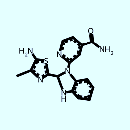 Cc1nc(C2Nc3ccccc3N2c2cc(C(N)=O)ccn2)sc1N